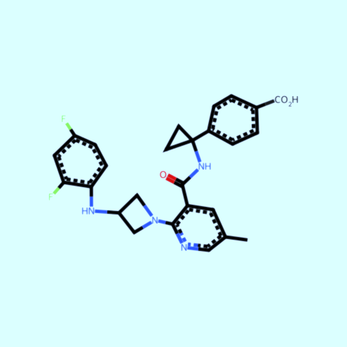 Cc1cnc(N2CC(Nc3ccc(F)cc3F)C2)c(C(=O)NC2(c3ccc(C(=O)O)cc3)CC2)c1